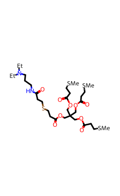 CCN(CC)CCCNC(=O)CCSCCC(=O)OCC(COC(=O)CCSC)(COC(=O)CCSC)COC(=O)CCSC